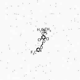 CN(C)C(=S)Oc1cc(Cl)c(OCCCOc2ccc(C(F)(F)F)cn2)c(Cl)c1